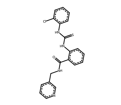 O=C(NCc1cccnc1)c1ccccc1NC(=S)Nc1ccccc1Cl